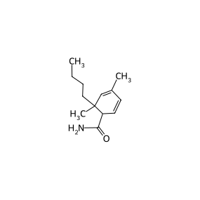 CCCCC1(C)C=C(C)C=CC1C(N)=O